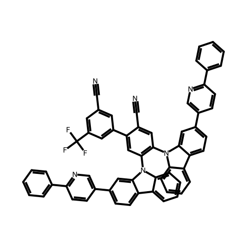 N#Cc1cc(-c2cc(-n3c4ccccc4c4ccc(-c5ccc(-c6ccccc6)nc5)cc43)c(-n3c4ccccc4c4ccc(-c5ccc(-c6ccccc6)nc5)cc43)cc2C#N)cc(C(F)(F)F)c1